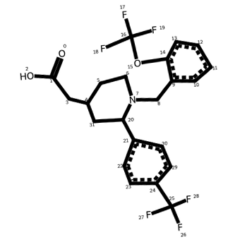 O=C(O)CC1CCN(Cc2ccccc2OC(F)(F)F)C(c2ccc(C(F)(F)F)cc2)C1